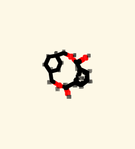 O=C1OCC2CCC(CC2)COC(=O)c2cccc1c2